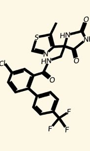 Cc1scnc1C1(CNC(=O)c2cc(Cl)ccc2-c2ccc(C(F)(F)F)cc2)NC(=O)NC1=O